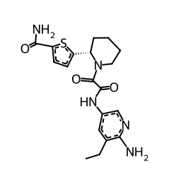 CCc1cc(NC(=O)C(=O)N2CCCC[C@H]2c2ccc(C(N)=O)s2)cnc1N